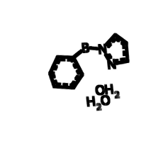 O.O.[B](c1ccccc1)n1cccn1